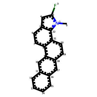 Cn1c(F)cc2ccc3c4cc5ccccc5cc4ccc3c21